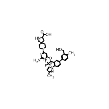 Cc1ccn(-c2ccc(-c3ccc(C)c(CO)c3)cc2[C@@H](Oc2cc(N3CCC4(CC3)CNC(C(=O)O)C4)nc(N)n2)C(F)(F)F)n1